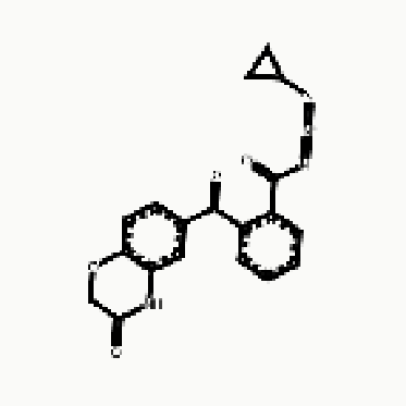 O=C1COc2ccc(C(=O)c3ccccc3C(=O)N=[N+]=NC3CC3)cc2N1